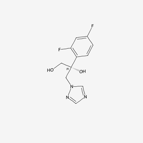 OC[C@](O)(Cn1cncn1)c1ccc(F)cc1F